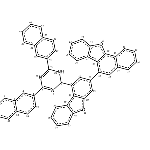 c1ccc2cc(C3=NC(c4cc(-c5cc6ccccc6c6oc7ccccc7c56)cc5oc6ccccc6c45)NC(c4ccc5ccccc5c4)=N3)ccc2c1